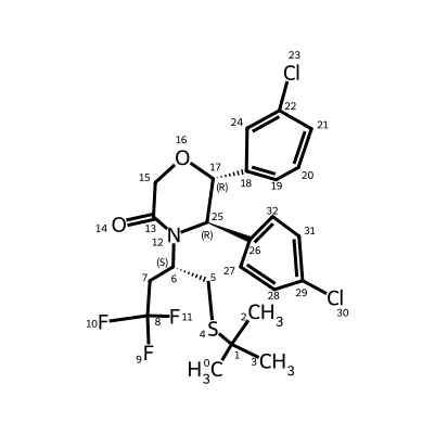 CC(C)(C)SC[C@H](CC(F)(F)F)N1C(=O)CO[C@H](c2cccc(Cl)c2)[C@H]1c1ccc(Cl)cc1